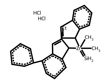 CCC1=Cc2c(-c3ccccc3)cccc2[CH]1[Zr]([CH3])([CH3])(=[SiH2])[CH]1C=Cc2ccccc21.Cl.Cl